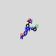 Cc1noc(C)c1-c1ccc2nc(N3CCN(CC(=O)N(C)C)CC3)nc(NCc3cccc(Cl)c3)c2c1